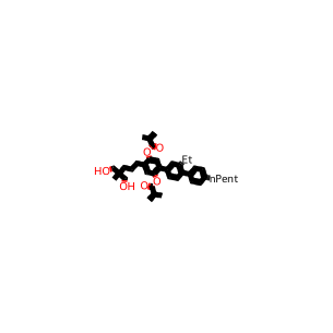 C=C(C)C(=O)Oc1cc(-c2ccc(-c3ccc(CCCCC)cc3)c(CC)c2)c(OC(=O)C(=C)C)cc1CCCC(C)(CO)CO